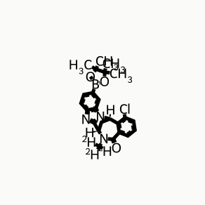 [2H]C([2H])([2H])N1C(=O)c2cccc(Cl)c2[C@H]2C[C@@H]1c1nc3ccc(B4OC(C)(C)C(C)(C)O4)cc3n12